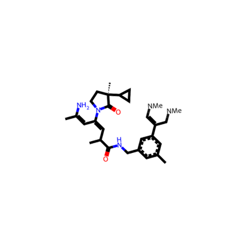 CN/C=C(\CNC)c1cc(C)cc(CNC(=O)C(C)/C=C(\C=C(\C)N)N2CC[C@@](C)(C3CC3)C2=O)c1